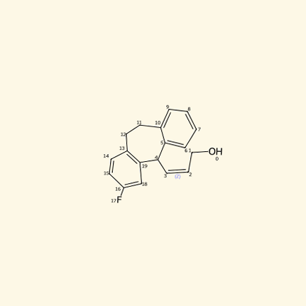 OC/C=C\C1c2ccccc2CCc2ccc(F)cc21